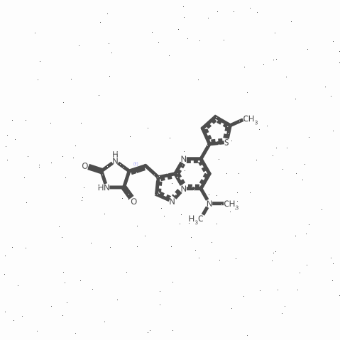 Cc1ccc(-c2cc(N(C)C)n3ncc(/C=C4/NC(=O)NC4=O)c3n2)s1